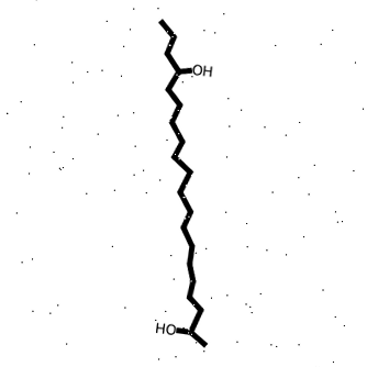 CCCC(O)CCCCCCCCCCCCCCC(C)O